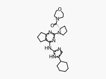 O=C([C@@H]1CCCN1c1nc2c(c(Nc3ncc(C4CCCCC4)[nH]3)n1)CCC2)N1CCOCC1